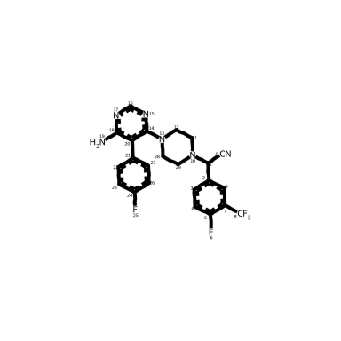 N#CC(c1ccc(F)c(C(F)(F)F)c1)N1CCN(c2ncnc(N)c2-c2ccc(F)cc2)CC1